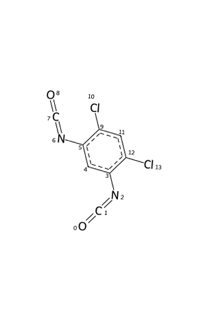 O=C=Nc1cc(N=C=O)c(Cl)cc1Cl